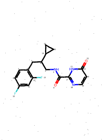 O=C(NCC(Cc1ccc(F)cc1F)C1CC1)c1nccc(=O)[nH]1